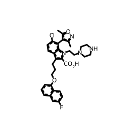 Cc1noc(C)c1-c1c(Cl)ccc2c(CCCOc3cccc4cc(F)ccc34)c(C(=O)O)n(CCN3CCNCC3)c12